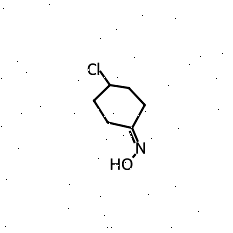 ON=C1CCC(Cl)CC1